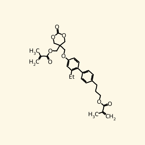 C=C(C)C(=O)OCCCc1ccc(-c2ccc(OCC3(COC(=O)C(=C)C)COC(=O)OC3)cc2CC)cc1